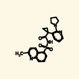 Cc1ccc2c(S(=O)(=O)NC(=O)C3(c4cccnc4N4CCCC4)CC3)cccc2n1